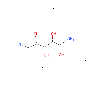 NCC(O)C(O)C(O)C(N)O